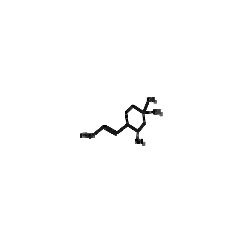 CCCCCCCC=CC1CCC(C)(C)CC1N